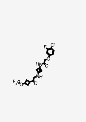 O=C(COc1ccc(Cl)c(F)c1)NC12CC(NCC(=O)C3CC(OC(F)(F)F)C3)(C1)C2